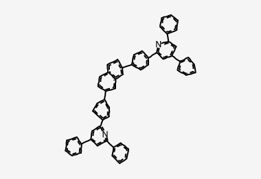 c1ccc(-c2cc(-c3ccccc3)nc(-c3ccc(-c4ccc5ccc(-c6ccc(-c7cc(-c8ccccc8)cc(-c8ccccc8)n7)cc6)cc5c4)cc3)c2)cc1